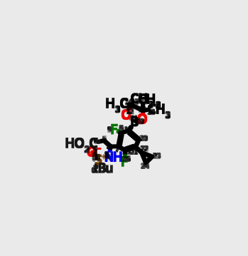 CC(C)(C)[S@@+]([O-])NC(CC(=O)O)c1c(F)c(B2OC(C)(C)C(C)(C)O2)cc(C2CC2)c1F